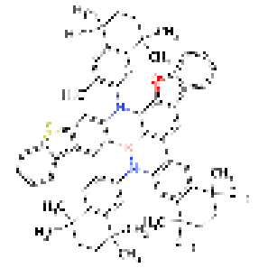 Cc1cc2c(cc1N1c3cc4sc5ccccc5c4cc3B3c4c(cc5c(oc6ccccc65)c41)-c1cc4c(cc1N3c1ccc3c(c1)C(C)(C)CCC3(C)C)C(C)(C)CCC4(C)C)C(C)(C)CCC2(C)C